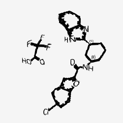 O=C(N[C@@H]1CCC[C@H](c2nc3ccccc3[nH]2)C1)c1cc2cc(Cl)ccc2o1.O=C(O)C(F)(F)F